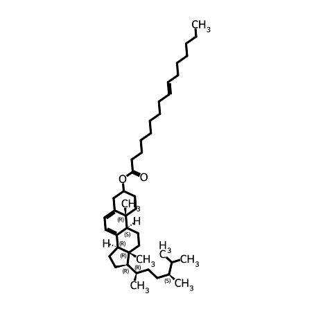 CCCCCCC=CCCCCCCCC(=O)OC1CC[C@@]2(C)C(=CC=C3[C@@H]4CC[C@H]([C@H](C)CC[C@H](C)C(C)C)[C@@]4(C)CC[C@@H]32)C1